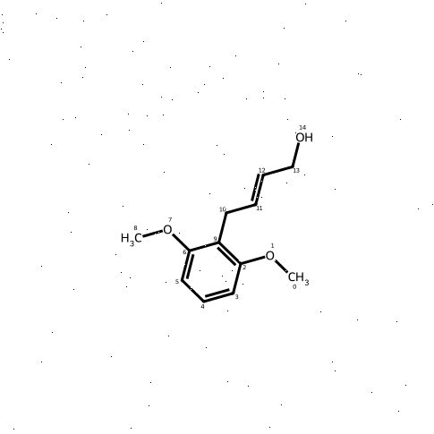 COc1cccc(OC)c1CC=CCO